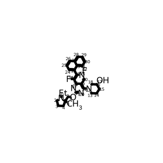 CCN1CCCC1(C)COc1nc(N2CCCC(O)C2)c2cnc(-c3cccc4cccc(F)c34)c(F)c2n1